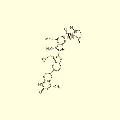 COc1cc(C(=O)N2C[C@H]3CC[C@@H]2[C@@H]3N)cc2nc(-c3cc4ccc(-c5ccc6[nH]c(=O)cc(C)c6c5)cc4n3CC3CC3)n(C)c12